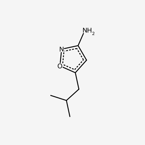 CC(C)Cc1cc(N)no1